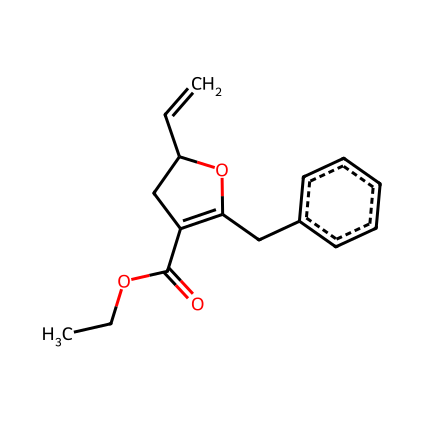 C=CC1CC(C(=O)OCC)=C(Cc2ccccc2)O1